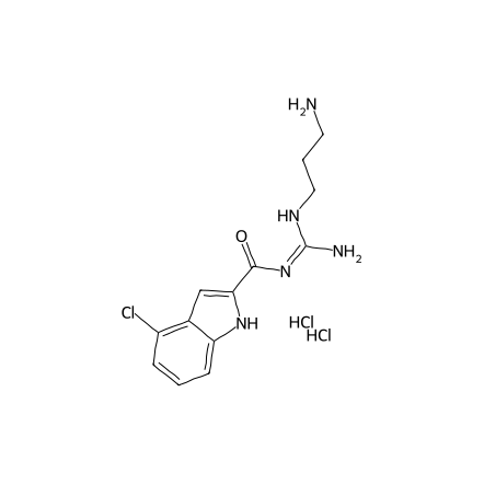 Cl.Cl.NCCCNC(N)=NC(=O)c1cc2c(Cl)cccc2[nH]1